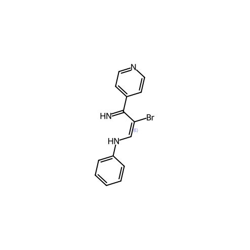 N=C(/C(Br)=C\Nc1ccccc1)c1ccncc1